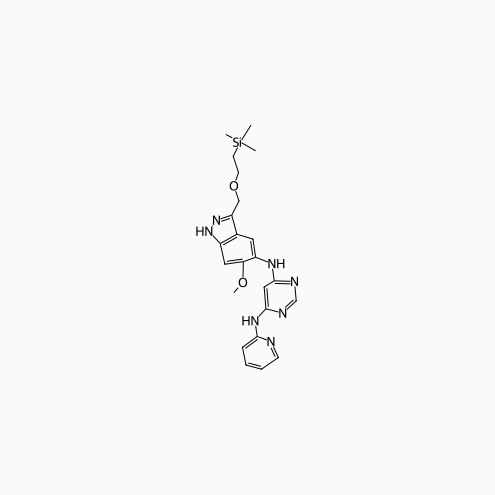 COc1cc2[nH]nc(COCC[Si](C)(C)C)c2cc1Nc1cc(Nc2ccccn2)ncn1